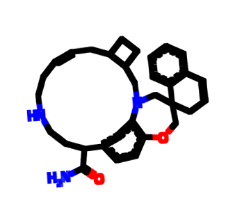 NC(=O)C1CCNCCC=CCC2CCC2CN2CC3(CC=Cc4ccccc43)COc3ccc1cc32